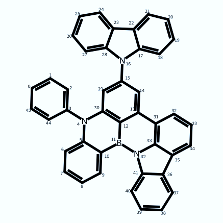 c1ccc(N2c3ccccc3B3c4c(cc(-n5c6ccccc6c6ccccc65)cc42)-c2cccc4c5ccccc5n3c24)cc1